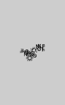 O=C1c2cc(-c3nnc(C(F)F)o3)ccc2CN1C1CCCCC1c1noc(C2CC2)n1